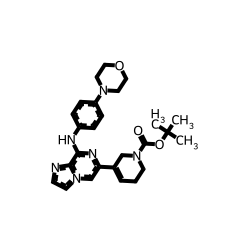 CC(C)(C)OC(=O)N1CCC=C(c2cn3ccnc3c(Nc3ccc(N4CCOCC4)cc3)n2)C1